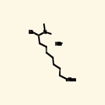 Br.CCCCCCCCCCCCCCCCC(CC)N(C)C